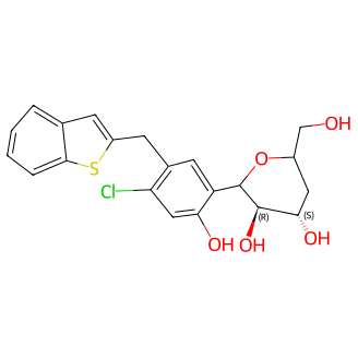 OCC1C[C@H](O)[C@@H](O)C(c2cc(Cc3cc4ccccc4s3)c(Cl)cc2O)O1